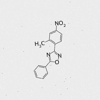 Cc1cc([N+](=O)[O-])ccc1-c1noc(-c2ccccc2)n1